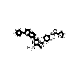 Nc1nc(-c2ccc3ccc(-c4ccccc4)nc3c2)cn2c1cnc2[C@H]1CC[C@H](CNC(=O)C2CCCO2)CC1